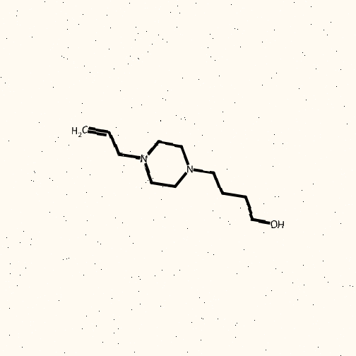 C=CCN1CCN(CCCCO)CC1